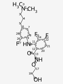 CN(C)CCCc1ccc(Nc2c(C(=O)NOCCO)ccc(F)c2F)c(F)c1